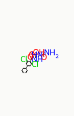 COC(O)[C@H](CNC(=O)CN)NC(=O)c1c(Cl)cc(-c2ccccc2)cc1Cl